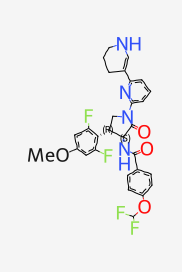 COc1cc(F)c([C@@H]2CN(c3cccc(C4=CNCCC4)n3)C(=O)[C@H]2NC(=O)c2ccc(OC(F)F)cc2)c(F)c1